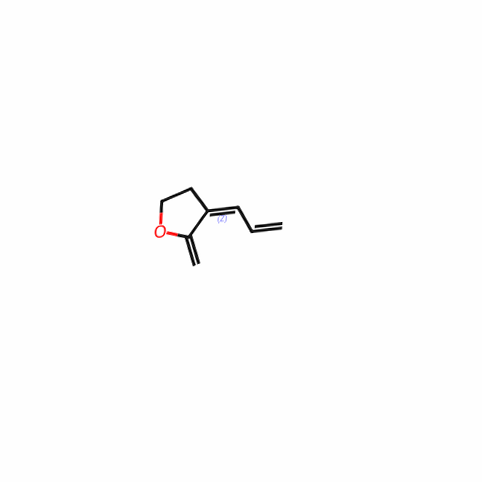 C=C/C=C1/CCOC1=C